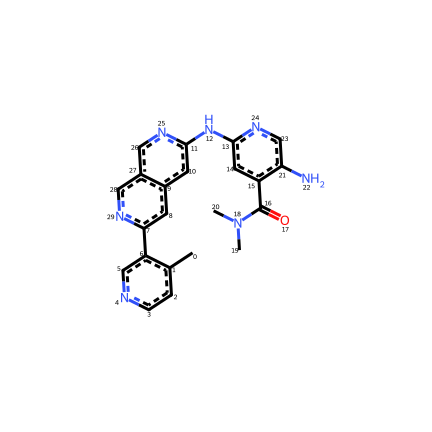 Cc1ccncc1-c1cc2cc(Nc3cc(C(=O)N(C)C)c(N)cn3)ncc2cn1